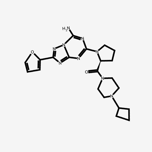 Nc1nc(N2CCC[C@H]2C(=O)N2CCN(C3CCC3)CC2)nc2nc(-c3ccco3)nn12